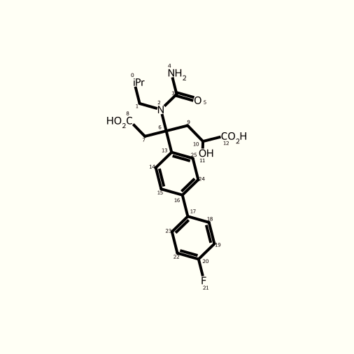 CC(C)CN(C(N)=O)C(CC(=O)O)(CC(O)C(=O)O)c1ccc(-c2ccc(F)cc2)cc1